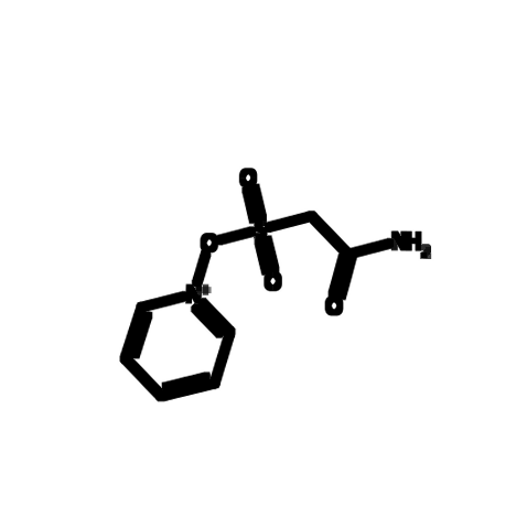 NC(=O)CS(=O)(=O)O[n+]1ccccc1